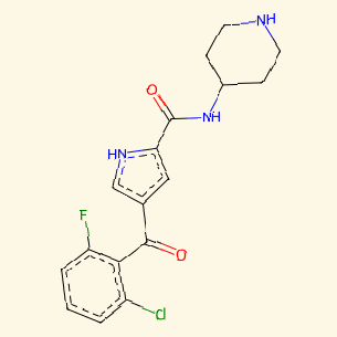 O=C(NC1CCNCC1)c1cc(C(=O)c2c(F)cccc2Cl)c[nH]1